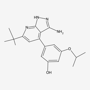 CC(C)Oc1cc(O)cc(-c2cc(C(C)(C)C)nc3[nH]nc(N)c23)c1